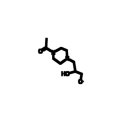 CC(=O)N1CCN(CC(O)C[O])CC1